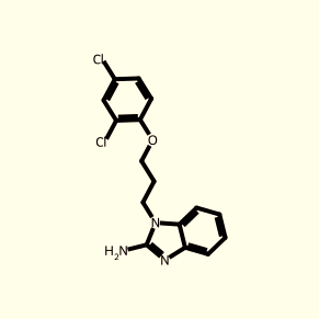 Nc1nc2ccccc2n1CCCOc1ccc(Cl)cc1Cl